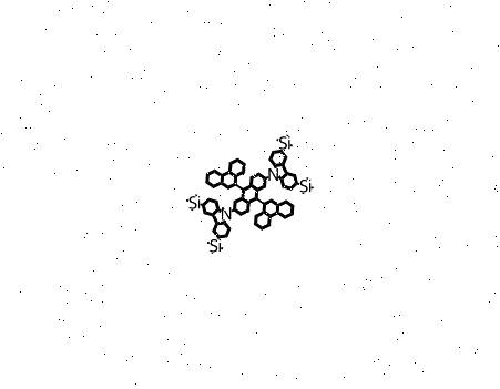 C[Si](C)(C)c1ccc2c(c1)c1cc([Si](C)(C)C)ccc1n2-c1ccc2c(-c3cc4ccccc4c4ccccc34)c3cc(-n4c5ccc([Si](C)(C)C)cc5c5cc([Si](C)(C)C)ccc54)ccc3c(-c3cc4ccccc4c4ccccc34)c2c1